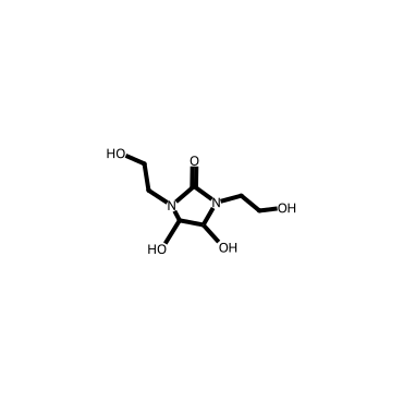 O=C1N(CCO)C(O)C(O)N1CCO